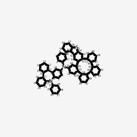 c1ccc(N(c2ccc3c(c2)-c2ccccc2-c2ccccc2N3c2ccccc2)c2ccc3c4ccccc4c4ccccc4c4ccccc4c4cc5sc6ccccc6c5cc4c3c2)cc1